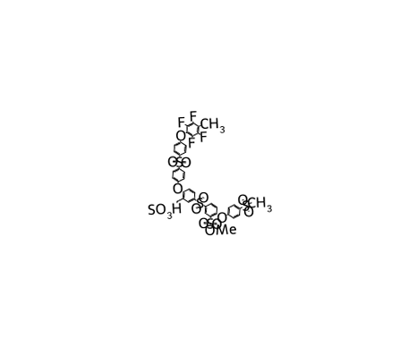 COS(=O)(=O)c1cc(S(=O)(=O)c2ccc(Oc3ccc(S(=O)(=O)c4ccc(Oc5c(F)c(F)c(C)c(F)c5F)cc4)cc3)c(CS(=O)(=O)O)c2)ccc1Oc1ccc(S(C)(=O)=O)cc1